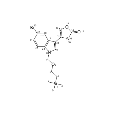 C[Si](C)(C)CCOCn1cc(-c2noc(=O)[nH]2)c2cc(Br)ccc21